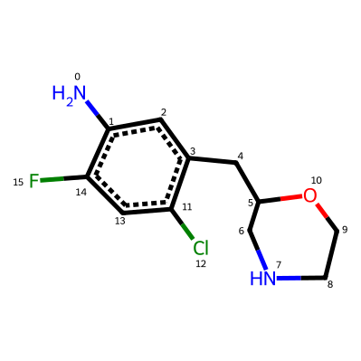 Nc1cc(CC2CNCCO2)c(Cl)cc1F